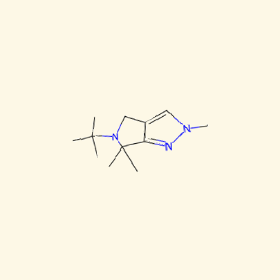 Cn1cc2c(n1)C(C)(C)N(C(C)(C)C)C2